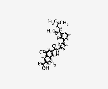 COC(CCC(C)C)c1cccc(-c2csc(NC(=O)c3cc(Cl)c(C=C(C)C(=O)O)c(Cl)c3)n2)c1F